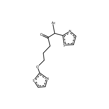 CC(=O)C(C(=O)CCCOc1nccs1)c1nccs1